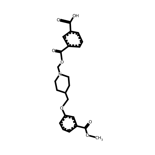 COC(=O)c1cccc(OCC2CCN(COC(=O)c3cccc(C(=O)O)c3)CC2)c1